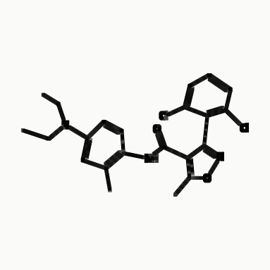 CCN(CC)c1ccc(NC(=O)c2c(-c3c(Cl)cccc3Cl)noc2C)c(C)c1